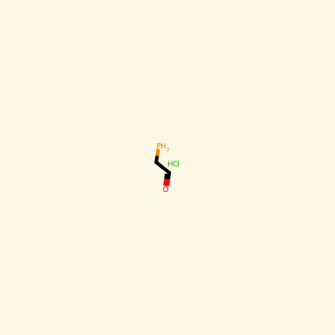 Cl.O=CCP